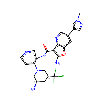 Cn1cc(-c2cnc3c(C(=O)Nc4cnccc4N4C[C@H](N)C[C@H](C(F)(F)F)C4)c(N)oc3c2)cn1